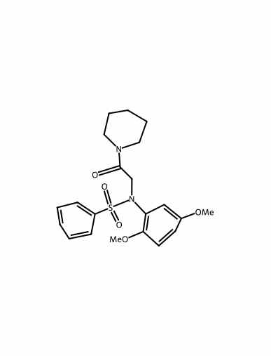 COc1ccc(OC)c(N(CC(=O)N2CCCCC2)S(=O)(=O)c2ccccc2)c1